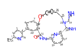 CCc1ccc(-c2ccc3c(c2)C(=O)Nc2cccc(n2)C(=N)N(C=N)CCCCO3)cn1